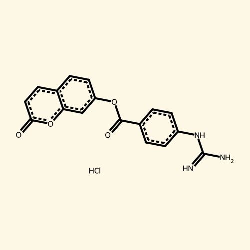 Cl.N=C(N)Nc1ccc(C(=O)Oc2ccc3ccc(=O)oc3c2)cc1